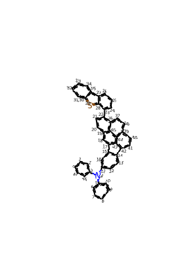 c1ccc(N(c2ccccc2)c2ccc3c(c2)-c2cc4ccc(-c5cccc6c5sc5ccccc56)c5ccc6ccc-3c2c6c45)cc1